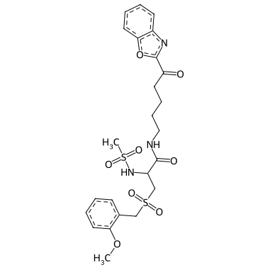 COc1ccccc1CS(=O)(=O)CC(NS(C)(=O)=O)C(=O)NCCCCC(=O)c1nc2ccccc2o1